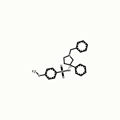 O=S(=O)(N[C@]1(c2ccccc2)CCN(Cc2ccccc2)C1)c1ccc(OC(F)(F)F)cc1